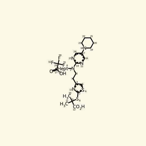 CCCCCCCN(CCc1csc(SC(C)(C)C(=O)O)n1)c1ncc(N2CCCCC2)cn1.O=C(O)C(F)(F)F